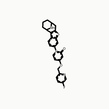 O=c1cc(OCc2ccc(F)cn2)ccn1-c1ccc2c3c(sc2c1)CC1CCCC3N1